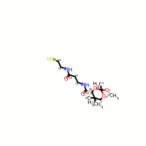 COC1(C)OCC(C)(C)[C@H](C(=O)NCCC(=O)NCCS)O1